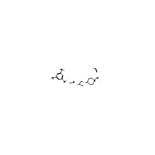 C=C(S/C=C\N)C1(O)CCC(N2CC(NC(=O)CNC(=O)c3cc(C(F)(F)F)cc(C(F)(F)F)c3)C2)CC1